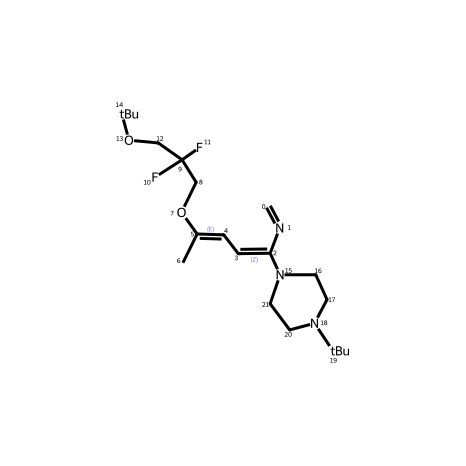 C=N/C(=C\C=C(/C)OCC(F)(F)COC(C)(C)C)N1CCN(C(C)(C)C)CC1